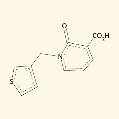 O=C(O)c1cccn(Cc2ccsc2)c1=O